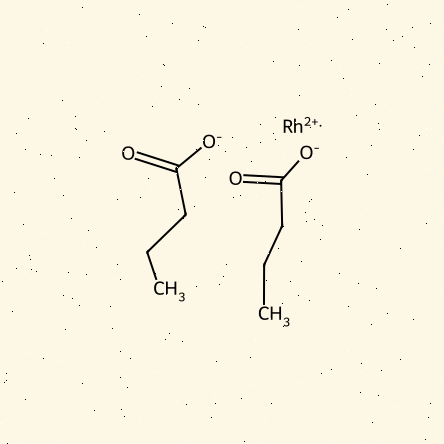 CCCC(=O)[O-].CCCC(=O)[O-].[Rh+2]